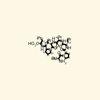 CC[C@H](C)[C@H](N)C(=O)N1CCC[C@H]1C(=O)N[C@@H](CC(C)C)C(=O)N[C@H](C(=O)N[C@@H](CC(C)C)C(=O)N1CCC[C@H]1C(=O)N[C@@H](CC(C)C)C(=O)O)C(C)C